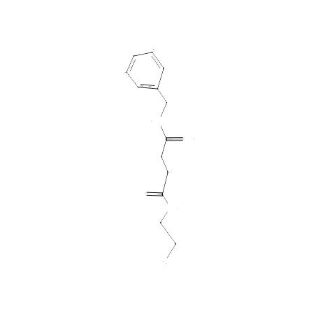 NCCOC(=O)CCC(=O)OCc1ccccc1